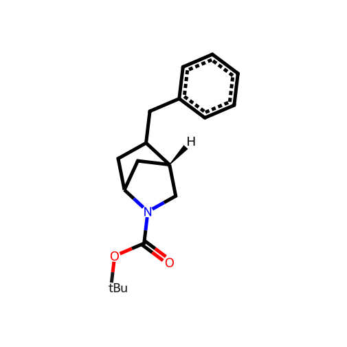 CC(C)(C)OC(=O)N1C[C@@H]2CC1CC2Cc1ccccc1